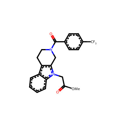 COC(=O)Cn1c2c(c3ccccc31)CCN(C(=O)c1ccc(C(F)(F)F)cc1)C2